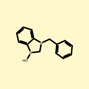 ON1CN(Cc2ccccc2)c2ccccc21